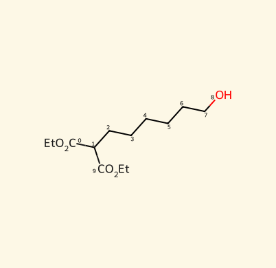 CCOC(=O)C(CCCCCCO)C(=O)OCC